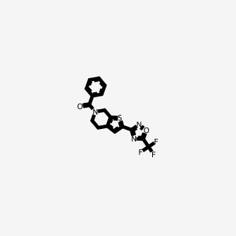 O=C(c1ccccc1)N1CCc2cc(-c3noc(C(F)(F)F)n3)sc2C1